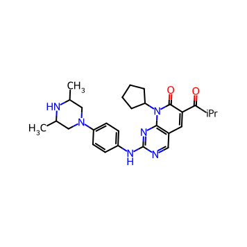 CC1CN(c2ccc(Nc3ncc4cc(C(=O)C(C)C)c(=O)n(C5CCCC5)c4n3)cc2)CC(C)N1